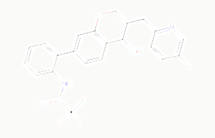 Cc1ccc(CC2COc3cc(-c4ccccc4N[S+]([O-])C(F)(F)F)ccc3C2O)nc1